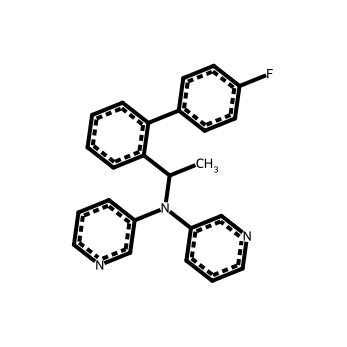 CC(c1ccccc1-c1ccc(F)cc1)N(c1cccnc1)c1cccnc1